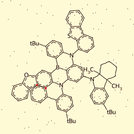 CC(C)(C)c1ccc2c(c1)B1c3cc4oc5ccccc5c4cc3N(c3ccc(C(C)(C)C)cc3-c3ccccc3)c3cc(N4c5ccc(C(C)(C)C)cc5C5(C)CCCCC45C)cc(c31)N2c1cccc2c1sc1ccccc12